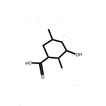 CC1CC(O)C(C)C(C(=O)O)C1